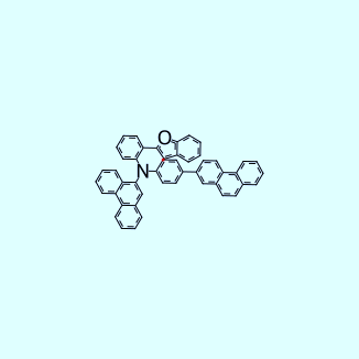 c1ccc(N(c2ccc(-c3ccc4c(ccc5ccccc54)c3)cc2)c2cc3ccccc3c3ccccc23)c(-c2cc3ccccc3o2)c1